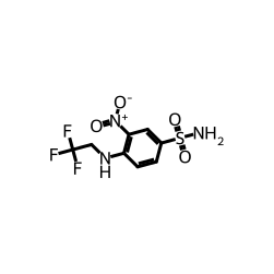 NS(=O)(=O)c1ccc(NCC(F)(F)F)c([N+](=O)[O-])c1